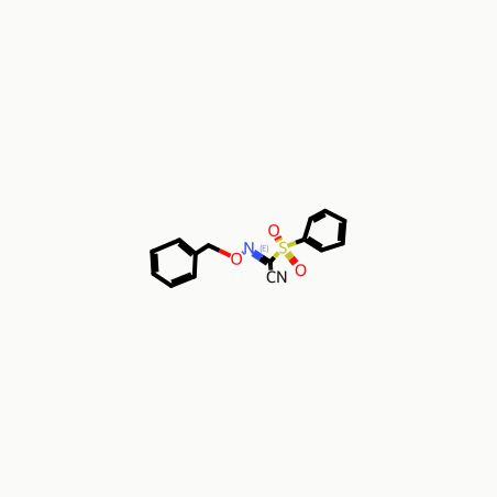 N#C/C(=N\OCc1ccccc1)S(=O)(=O)c1ccccc1